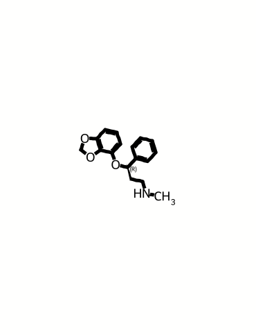 CNCC[C@@H](Oc1cccc2c1OCO2)c1ccccc1